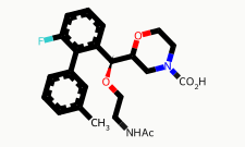 CC(=O)NCCO[C@@H](c1cccc(F)c1-c1cccc(C)c1)C1CN(C(=O)O)CCO1